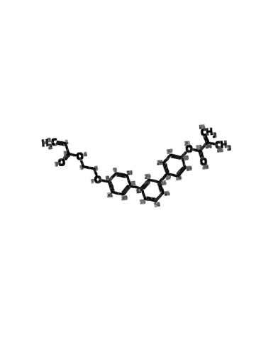 C=CC(=O)OCCOc1ccc(-c2cccc(-c3ccc(OC(=O)C(=C)C)cc3)c2)cc1